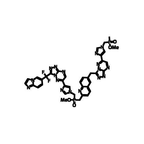 COP(C)(=O)Cn1cnc(-c2cnc3nnc(Cc4ccc5nc(CP(=O)(Cn6cnc(-c7cnc8nnc(C(F)(F)c9ccc%10nccn%10c9)n8n7)c6)OC)ccc5c4)n3n2)c1